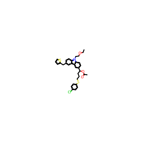 CCOCCn1c2ccc(Cc3cccs3)cc2c2cc(C(CCCSc3ccc(Cl)cc3)OC(C)=O)ccc21